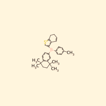 Cc1ccc(B(c2ccc3c(c2)C(C)(C)CCC3(C)C)c2csc3c2C=CCC3)cc1